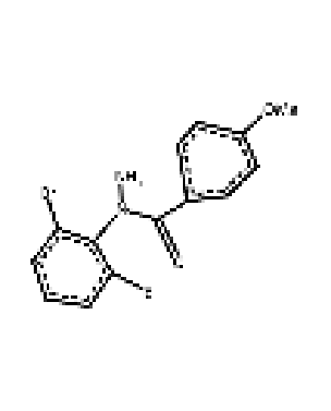 COc1ccc(C(=O)N(N)c2c(Br)cccc2Br)cc1